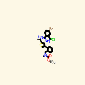 C[C@@H](Nc1nnc(Cl)c2cc(Br)ccc12)c1cc(-c2ccccc2CN(C)C(=O)OC(C)(C)C)cs1